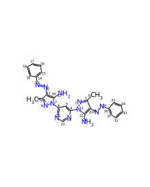 Cc1nn(-c2cc(-n3nc(C)c(/N=N/c4ccccc4)c3N)ncn2)c(N)c1/N=N/c1ccccc1